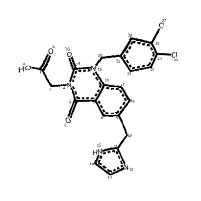 O=C(O)Cn1c(=O)c2cc(Cc3ncc[nH]3)ccc2n(Cc2ccc(Cl)c(Cl)c2)c1=O